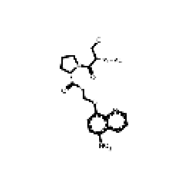 CC(=O)N[C@@H](CO)C(=O)N1CCC[C@H]1C(=O)OCOc1ccc([N+](=O)[O-])c2cccnc12